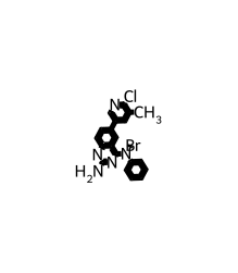 Cc1cc(-c2ccc3nc(N)nc(N(Br)c4ccccc4)c3c2)cnc1Cl